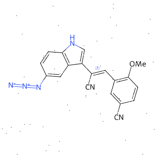 COc1ccc(C#N)cc1/C=C(\C#N)c1c[nH]c2ccc(N=[N+]=[N-])cc12